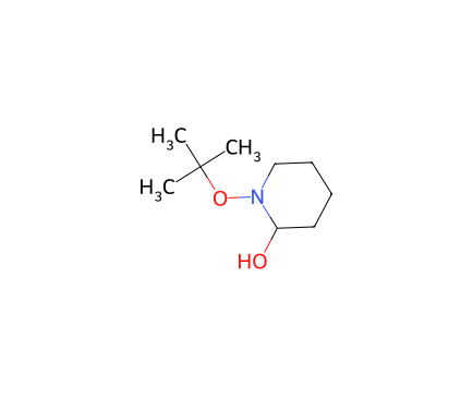 CC(C)(C)ON1CCCCC1O